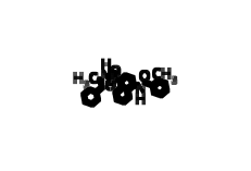 Cc1ccccc1C(=O)Nc1ccc(S(=O)(=O)NC(C)CC2CCCCC2)c2ccccc12